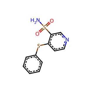 NS(=O)(=O)c1cnccc1Sc1ccccc1